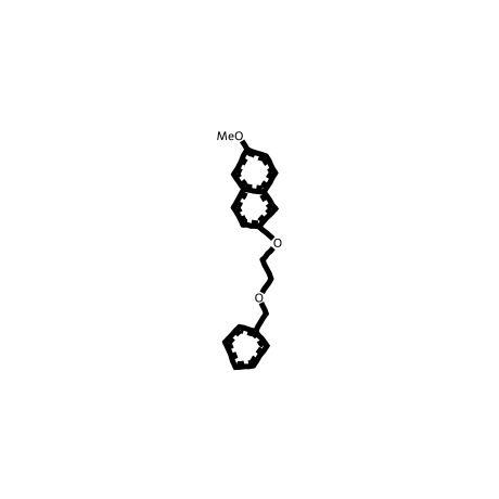 COc1ccc2cc(OCCOCc3ccccc3)ccc2c1